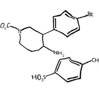 Cc1ccc(S(=O)(=O)O)cc1.NC1CCN(C(=O)O)CC1c1ccc(Br)cc1